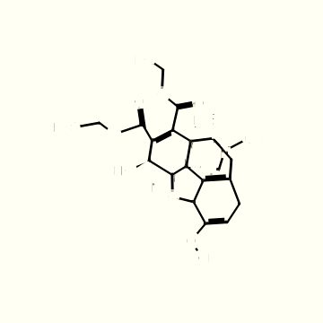 CCOC(=O)C1=C(C(=O)OCC)[C@H]2[C@H]3CC4=C5C(O[C@@H]([C@H]1O)[C@]52CCN3C)C(OC)=CC4